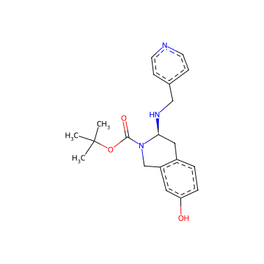 CC(C)(C)OC(=O)N1Cc2cc(O)ccc2C[C@@H]1NCc1ccncc1